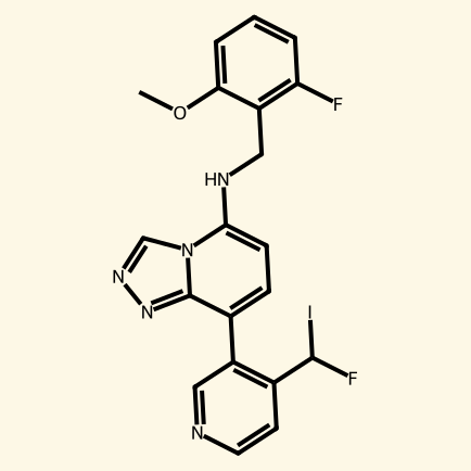 COc1cccc(F)c1CNc1ccc(-c2cnccc2C(F)I)c2nncn12